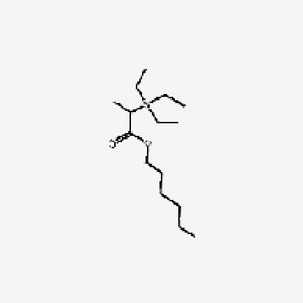 CCCCCCOC(=O)C(C)[Si](CC)(CC)CC